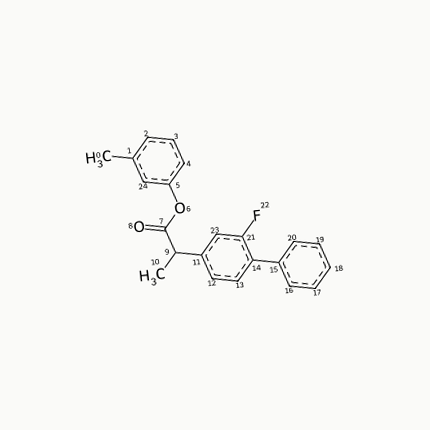 Cc1cccc(OC(=O)C(C)c2ccc(-c3ccccc3)c(F)c2)c1